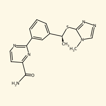 C[C@H](Sc1nncn1C)c1cccc(-c2nccc(C(N)=O)n2)c1